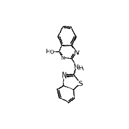 Oc1nc(NC2=NC3C=CC=CC3S2)nc2ccccc12